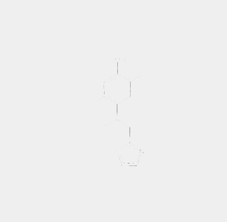 CC1CC(C(C)Cc2nccs2)=C(O)C=C1O